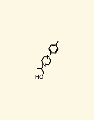 Cc1ccc(N2CCN(C(C)CO)CC2)cc1